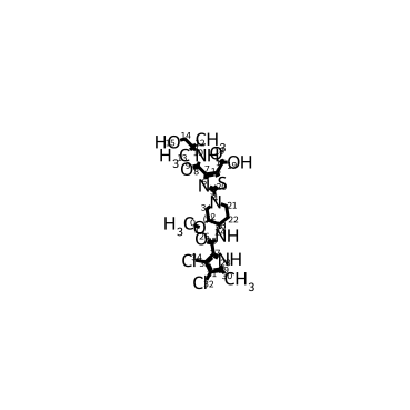 CO[C@H]1CN(c2nc(C(=O)NC(C)(C)CO)c(C(=O)O)s2)CC[C@H]1NC(=O)c1[nH]c(C)c(Cl)c1Cl